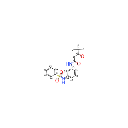 CC(C)(C)C(=O)CC(=O)Nc1cccc(NS(=O)(=O)c2ccccc2)c1